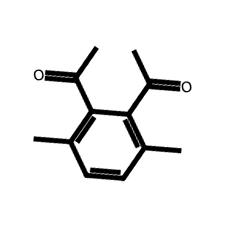 CC(=O)c1c(C)ccc(C)c1C(C)=O